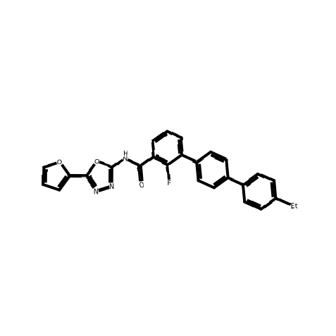 CCc1ccc(-c2ccc(-c3cccc(C(=O)Nc4nnc(-c5ccco5)o4)c3F)cc2)cc1